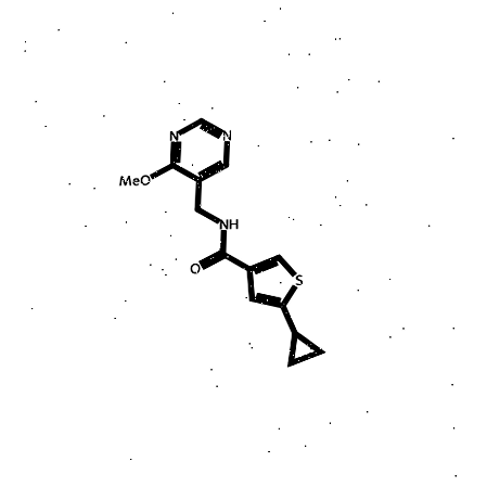 COc1ncncc1CNC(=O)c1csc(C2CC2)c1